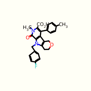 Cc1ccc(-c2c(C(=O)O)n(C)c(=O)c3c2c2c(n3Cc3ccc(F)cc3)CCOC2)cc1